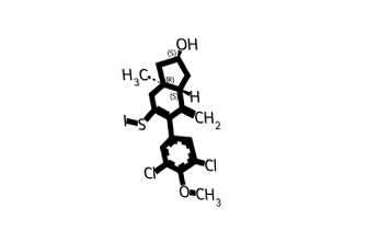 C=C1C(c2cc(Cl)c(OC)c(Cl)c2)=C(SI)C[C@@]2(C)C[C@@H](O)C[C@H]12